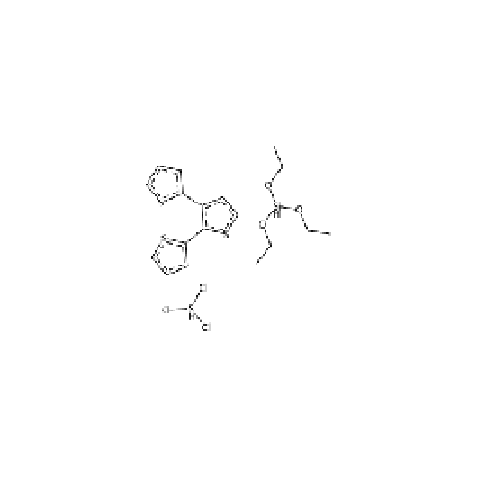 CCO[SiH](OCC)OCC.Cl[SiH](Cl)Cl.c1csc(-c2ccsc2-c2cccs2)c1